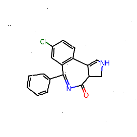 O=C1N=C(c2ccccc2)c2cc(Cl)ccc2C2=CNCC12